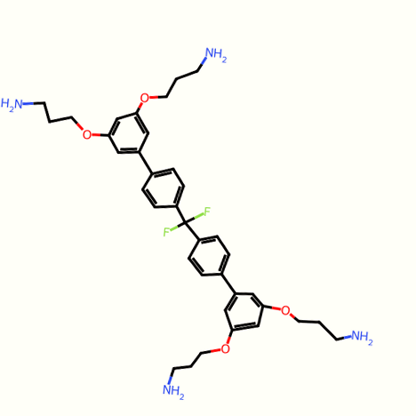 NCCCOc1cc(OCCCN)cc(-c2ccc(C(F)(F)c3ccc(-c4cc(OCCCN)cc(OCCCN)c4)cc3)cc2)c1